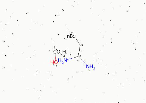 CCCCCC(N)N.O=C(O)O